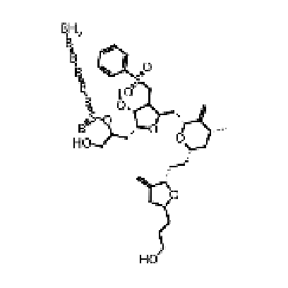 B#S(=BB=BB=BB)OC(CO)C[C@H]1OC(C[C@H]2O[C@@H](CC[C@@H]3OC(CCCO)CC3=C)C[C@@H](C)C2=C)C(CS(=O)(=O)c2ccccc2)[C@H]1OC